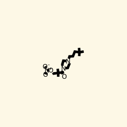 CC(C)(C)CCCN1CCN(C(=O)C(C)(C)CO[N+](=O)[O-])CC1